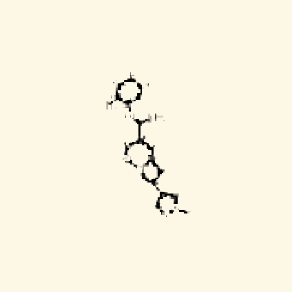 Cn1cc(-c2cc3cc(C(N)=Nc4ccccc4Cl)cnn3c2)cn1